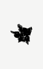 COC(=O)NC1CCN(Cc2cccc(-c3cnc4[nH]cc(C(=O)C(C)(C)C)c4n3)c2)C1